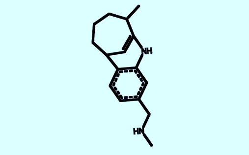 CNCc1ccc2c(c1)NC1=CC2CCCC1C